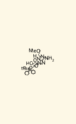 COCCc1nc(N)c2ncn([C@@H]3O[C@H](CO[Si](c4ccccc4)(c4ccccc4)C(C)(C)C)C(O)C3O)c2n1